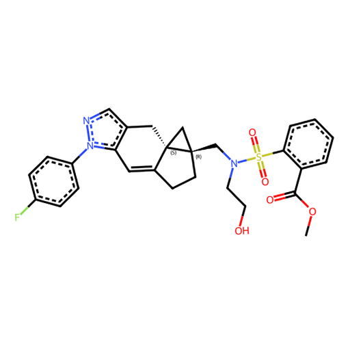 COC(=O)c1ccccc1S(=O)(=O)N(CCO)C[C@@]12CCC3=Cc4c(cnn4-c4ccc(F)cc4)C[C@@]31C2